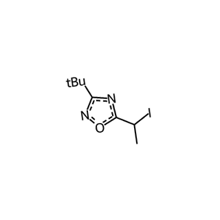 CC(I)c1nc(C(C)(C)C)no1